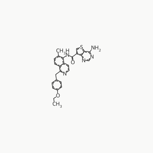 CCOc1ccc(Cc2nccc3c(NC(=O)c4csc5c(N)ncnc45)c(C)ccc23)cc1